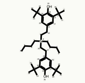 CCCC[Si](CCCC)(CCc1cc(C(C)(C)C)c(O)c(C(C)(C)C)c1)CCc1cc(C(C)(C)C)c(O)c(C(C)(C)C)c1